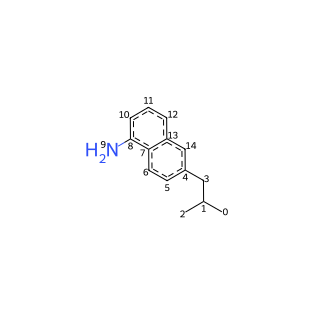 CC(C)Cc1ccc2c(N)cccc2c1